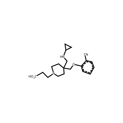 N#Cc1ccccc1OCC1(CNC2CC2)CCN(CCC(=O)O)CC1